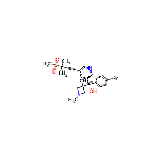 CC(C)c1ccc([C@](O)(c2cncc(C#CC(C)(C)S(C)(=O)=O)c2)C2(C)CN(C)C2)cc1